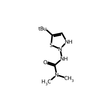 CN(C)C(=O)NN1NC=C(C(C)(C)C)S1